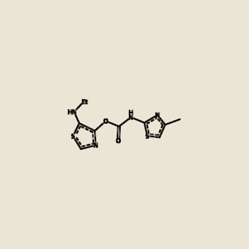 CCNc1scnc1OC(=O)Nc1nc(C)cs1